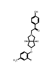 Cc1ccc(O[C@@H]2C[C@@H]3CN(CC(=O)c4ccc(O)cc4)C[C@@H]3C2)c(F)c1